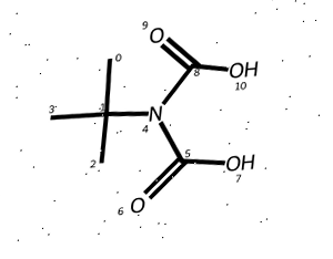 CC(C)(C)N(C(=O)O)C(=O)O